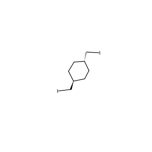 IC[C@H]1CC[C@H](CI)CC1